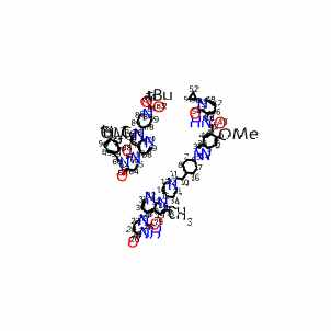 COc1cc2nn(C3CCC(CCN4CCC(n5c(C)cc6c(N7CCC(=O)NC7=O)ccnc65)CC4)CC3)cc2cc1C(=O)Nc1cccn(C2CC2)c1=O.COc1ccc(CN2C(=O)CCN(c3ccnc4c3cc(C)n4C3CCN(C(=O)OC(C)(C)C)CC3)C2=O)cc1